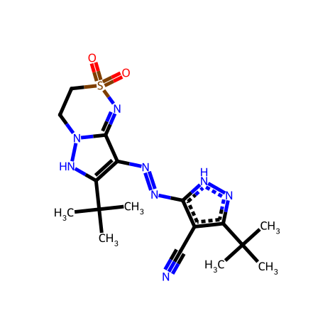 CC(C)(C)C1=C(N=Nc2[nH]nc(C(C)(C)C)c2C#N)C2=NS(=O)(=O)CCN2N1